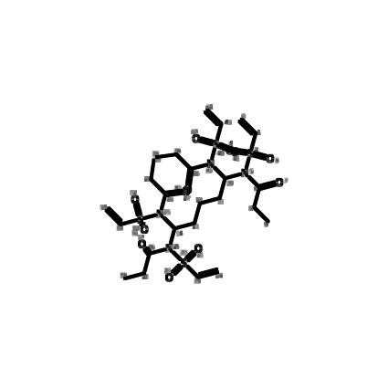 C=CS(=O)(=O)N(C(=O)CC)C(CCCC(N(C(=O)CC)S(=O)(=O)C=C)N(C(=O)CC)S(=O)(=O)C=C)N(C(=O)CC)S(=O)(=O)C=C